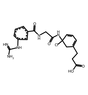 N=C(N)Nc1cccc(C(=O)NCC(=O)NC2(Cl)C=CC=C(CCC(=O)O)C2)c1